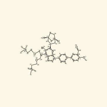 COc1ccc(-c2ccc(-c3cnn4c(N(COCC[Si](C)(C)C)COCC[Si](C)(C)C)c(Br)c([C@H]5C[C@@H]6CC[C@@H](C6)C5)nc34)cn2)cc1C=O